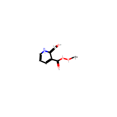 CC(C)(C)OOC(=O)C1=CC=CNC1=C=O